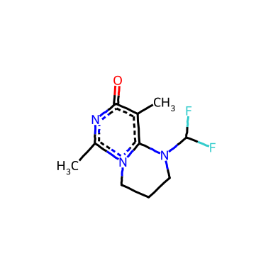 Cc1c2n(c(C)nc1=O)CCCN2C(F)F